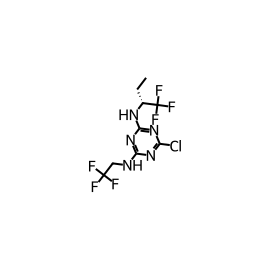 CC[C@@H](Nc1nc(Cl)nc(NCC(F)(F)F)n1)C(F)(F)F